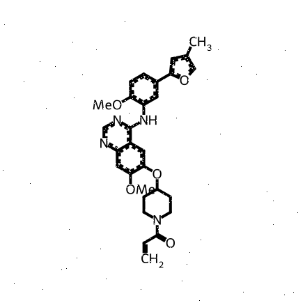 C=CC(=O)N1CCC(Oc2cc3c(Nc4cc(-c5cc(C)co5)ccc4OC)ncnc3cc2OC)CC1